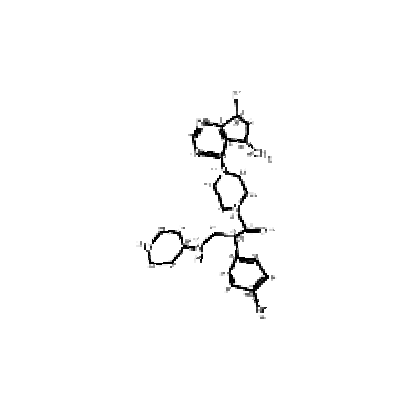 C[C@@H]1C[C@H](F)c2ncnc(N3CCN(C(=O)[C@H](CNC4CCOCC4)c4ccc(Br)cc4)CC3)c21